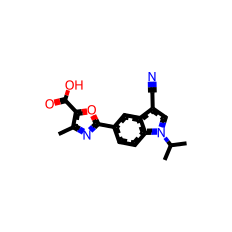 Cc1nc(-c2ccc3c(c2)c(C#N)cn3C(C)C)oc1C(=O)O